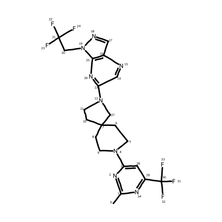 Cc1nc(N2CCC3(CC2)CCN(c2cnc4cnn(CC(F)(F)F)c4n2)C3)cc(C(F)(F)F)n1